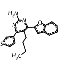 CCCCc1c(-c2ccsc2)nc(N)nc1-c1cc2ccccc2o1